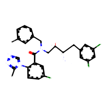 CCc1cccc(CN(C[C@@H](O)[C@@H](N)Cc2cc(F)cc(F)c2)C(=O)c2cc(Cl)ccc2-n2cnnc2C)c1